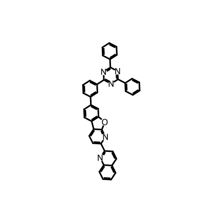 c1ccc(-c2nc(-c3ccccc3)nc(-c3cccc(-c4ccc5c(c4)oc4nc(-c6ccc7ccccc7n6)ccc45)c3)n2)cc1